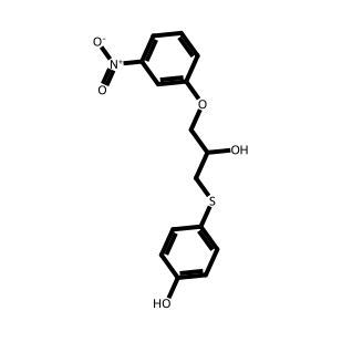 O=[N+]([O-])c1cccc(OCC(O)CSc2ccc(O)cc2)c1